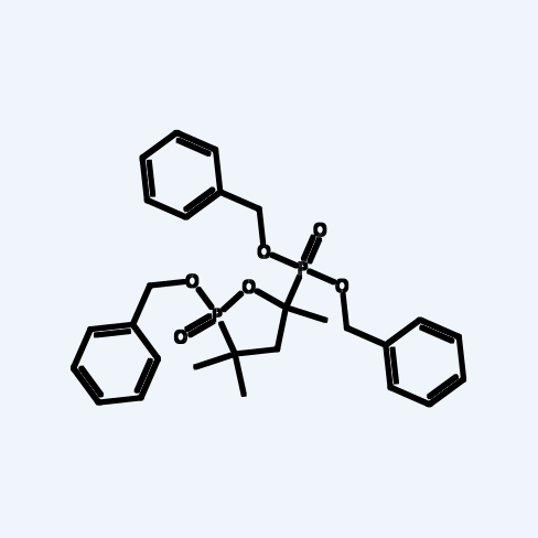 CC1(C)CC(C)(P(=O)(OCc2ccccc2)OCc2ccccc2)OP1(=O)OCc1ccccc1